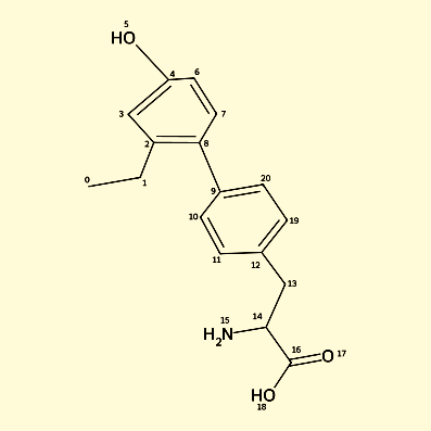 CCc1cc(O)ccc1-c1ccc(CC(N)C(=O)O)cc1